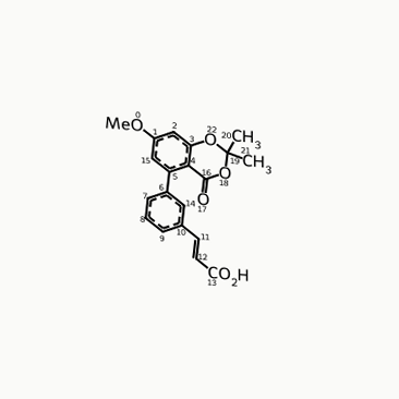 COc1cc2c(c(-c3cccc(/C=C/C(=O)O)c3)c1)C(=O)OC(C)(C)O2